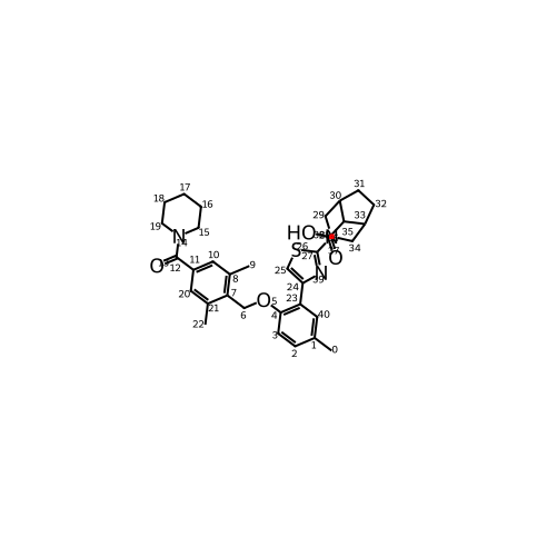 Cc1ccc(OCc2c(C)cc(C(=O)N3CCCCC3)cc2C)c(-c2csc(N3CC4CCC(C3)C4C(=O)O)n2)c1